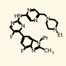 CCN1CCN(Cc2cnc(Nc3ncc(F)c(-c4cc(F)c5nc(C)n(C(C)C)c5c4)n3)cn2)CC1